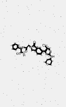 CC[C@H](O)[C@@H](NC(=O)CN1Cc2ccc(-c3nc(NC4CCOCC4)ncc3Cl)cc2C1=O)c1ccccc1